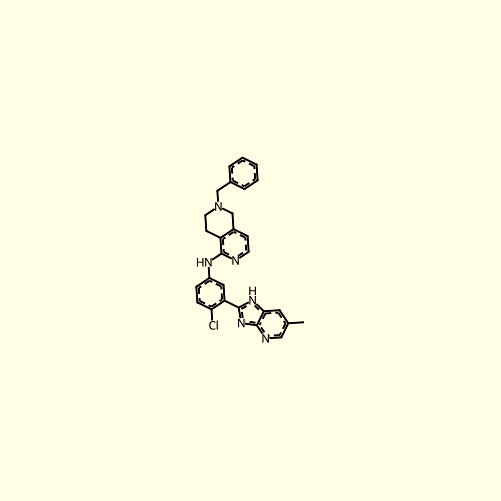 Cc1cnc2nc(-c3cc(Nc4nccc5c4CCN(Cc4ccccc4)C5)ccc3Cl)[nH]c2c1